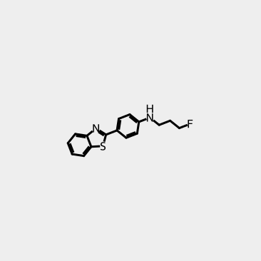 FCCCNc1ccc(-c2nc3ccccc3s2)cc1